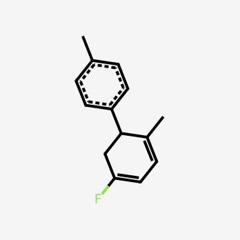 CC1=CC=C(F)CC1c1ccc(C)cc1